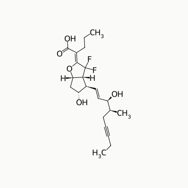 CCC#CC[C@H](C)[C@H](O)/C=C/[C@@H]1[C@@H]2[C@H](C[C@H]1O)OC(=C(CCC)C(=O)O)C2(F)F